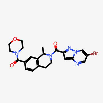 CC1c2cc(C(=O)N3CCOCC3)ccc2CCN1C(=O)c1cc2ncc(Br)cn2n1